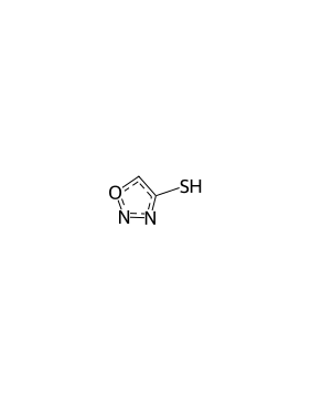 Sc1conn1